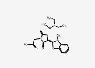 CCN(CC)CC.CN1/C(=C2\SC(=S)N(CC(=O)O)C2=O)Sc2ccccc21